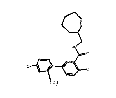 O=C(NCC1CCCCCC1)c1cc(-c2ncc(Cl)cc2C(=O)O)ccc1Cl